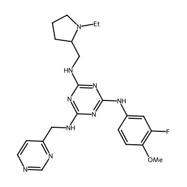 CCN1CCCC1CNc1nc(NCc2ccncn2)nc(Nc2ccc(OC)c(F)c2)n1